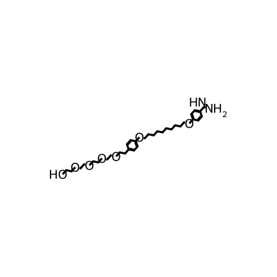 N=C(N)c1ccc(OCCCCCCCCCCOc2ccc(CCOCCOCCOCCOCCO)cc2)cc1